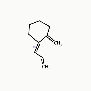 C=C/C=C1/CCCCC1=C